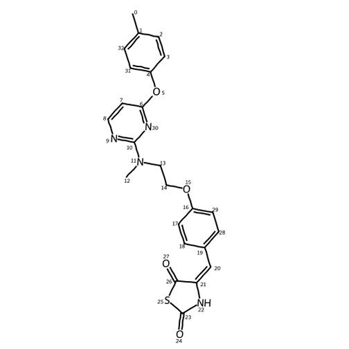 Cc1ccc(Oc2ccnc(N(C)CCOc3ccc(C=C4NC(=O)SC4=O)cc3)n2)cc1